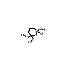 CCOC1(OCC)CCC[Si](Cl)(OCC)O1